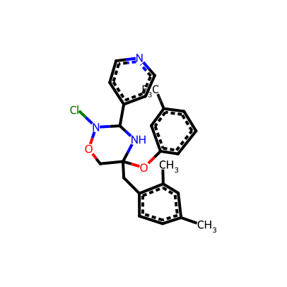 Cc1ccc(CC2(Oc3cccc(C(F)(F)F)c3)CON(Cl)C(c3ccncc3)N2)c(C)c1